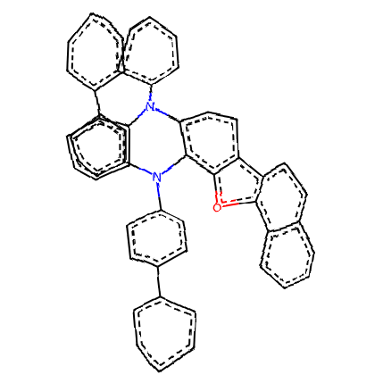 c1ccc(-c2ccc(N(c3ccccc3)c3c(N(c4ccccc4)c4ccccc4-c4ccccc4)ccc4c3oc3c5ccccc5ccc43)cc2)cc1